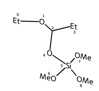 CCOC(CC)O[Si](OC)(OC)OC